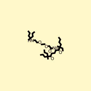 CCCCC(C)(CC)C(=O)C(CCC(=O)C(C)(CCC)CCC)NC(=O)COCCOCCNC(C)(CCC)CCC